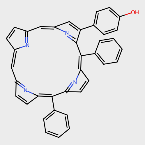 Oc1ccc(C2=CC3=CC4=NC(=CC5=NC(=C(c6ccccc6)C6=NC(=C(c7ccccc7)C2=N3)C=C6)C=C5)C=C4)cc1